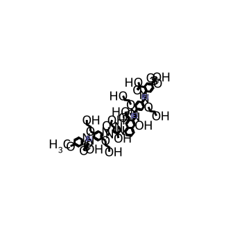 COc1ccc(/N=N/c2cc(OCCO)c(N=Nc3c(C(=O)O)nn(-c4cccc5c(O)c(/N=N/c6cc(OCCO)c(/N=N/c7ccc(S(=O)(=O)O)cc7C(=O)O)cc6OCCO)c(S(=O)(=O)O)cc45)c3O)cc2OCCO)c(S(=O)(=O)O)c1